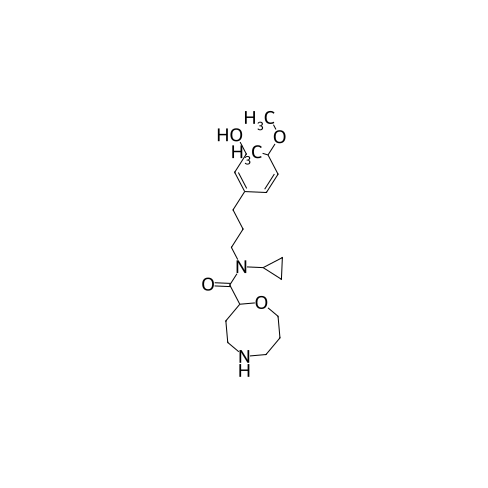 COC(C)/C=C\C(=C/CO)CCCN(C(=O)C1CCNCCCO1)C1CC1